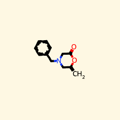 C=C1CN(Cc2ccccc2)CC(=O)O1